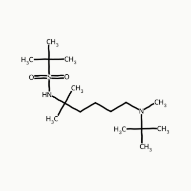 CN(CCCCC(C)(C)NS(=O)(=O)C(C)(C)C)C(C)(C)C